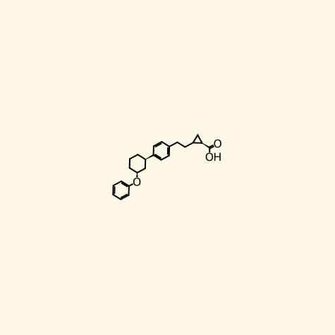 O=C(O)[C@@H]1CC1CCc1ccc([C@@H]2CCC[C@H](Oc3ccccc3)C2)cc1